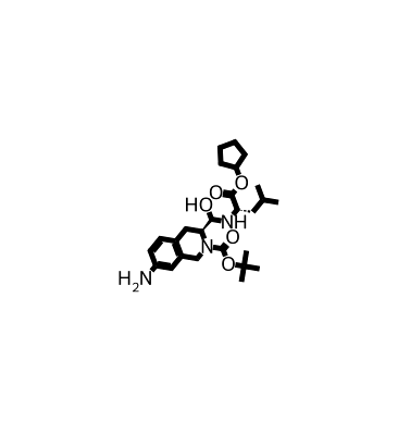 CC(C)C[C@H](NC(O)[C@@H]1Cc2ccc(N)cc2CN1C(=O)OC(C)(C)C)C(=O)OC1CCCC1